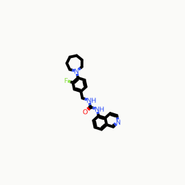 O=C(NCc1ccc(N2CCCCCC2)c(F)c1)Nc1cccc2cnccc12